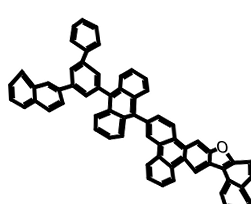 c1ccc(-c2cc(-c3ccc4ccccc4c3)cc(-c3c4ccccc4c(-c4ccc5c(c4)c4ccccc4c4cc6c(cc54)oc4ccc5ccccc5c46)c4ccccc34)c2)cc1